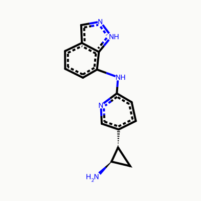 N[C@@H]1C[C@H]1c1ccc(Nc2cccc3cn[nH]c23)nc1